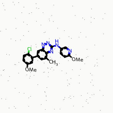 COc1ccc(Cl)c(-c2cc(C)c3nc(Nc4ccc(OC)nc4)nnc3c2)c1